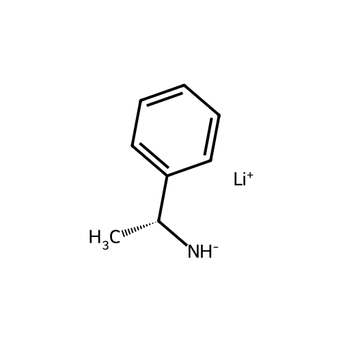 C[C@@H]([NH-])c1ccccc1.[Li+]